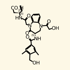 C=C[C@H](CC(=O)O)NC(=O)CN1C(=O)[C@@H](NC(=O)c2cc(C)c(CO)c(C)c2)CN(C(=O)CO)c2ccccc21